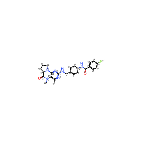 Cc1nc(NCc2ccc(NC(=O)c3ccc(F)cc3)cc2)nc2c1N(C)C(=O)C1CCCN21